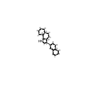 c1ccc2cc(-c3c[nH]c4c3ccc3ccccc34)ccc2c1